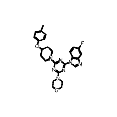 Cc1ccc(OC2CCN(c3nc(N4CCOCC4)nc(-n4cnc5cc(F)ccc54)n3)CC2)cc1